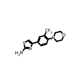 Nc1nc(-c2ccc(N3CCOCC3)c(C(F)(F)F)c2)cs1